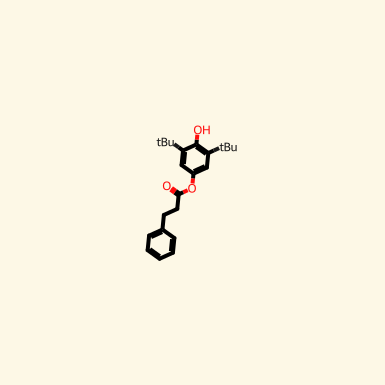 CC(C)(C)c1cc(OC(=O)CCc2ccccc2)cc(C(C)(C)C)c1O